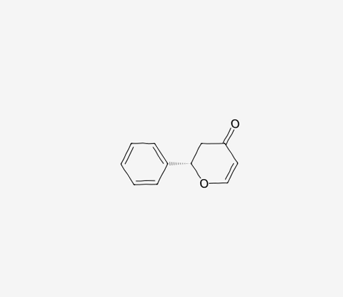 O=C1C=CO[C@H](c2ccccc2)C1